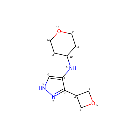 c1[nH]nc(C2COC2)c1NC1CCOCC1